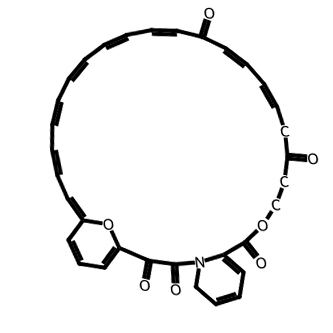 O=C1\C=C/C=C\C=C/C=C\C=C/C=C2C=CC=C(O2)C(=O)C(=O)N2CC=CC=C2C(=O)OCCC(=O)C/C=C\C=C/1